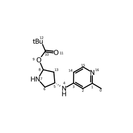 Cc1cc(N[C@@H]2CNC(OC(=O)C(C)(C)C)C2)ccn1